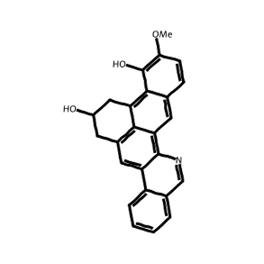 COc1ccc2cc3c4c(cc5c6ccccc6cnc35)CC(O)Cc4c2c1O